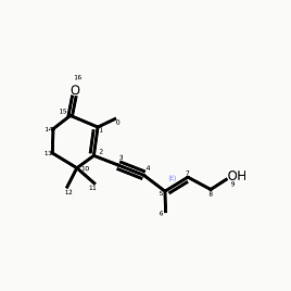 CC1=C(C#C/C(C)=C/CO)C(C)(C)CCC1=O